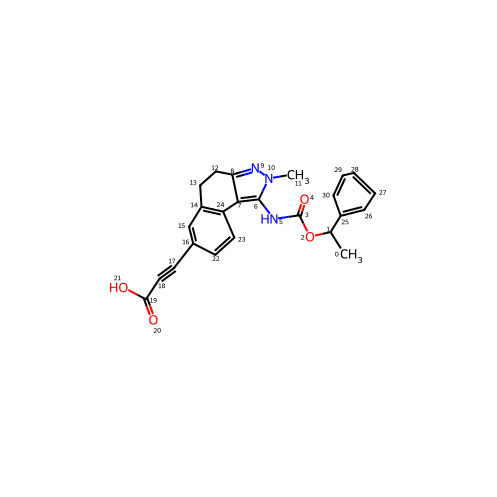 CC(OC(=O)Nc1c2c(nn1C)CCc1cc(C#CC(=O)O)ccc1-2)c1ccccc1